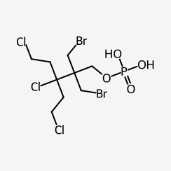 O=P(O)(O)OCC(CBr)(CBr)C(Cl)(CCCl)CCCl